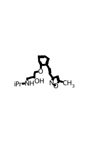 Cc1cc(C=Cc2ccccc2OCC(O)CNC(C)C)no1